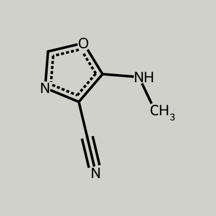 CNc1ocnc1C#N